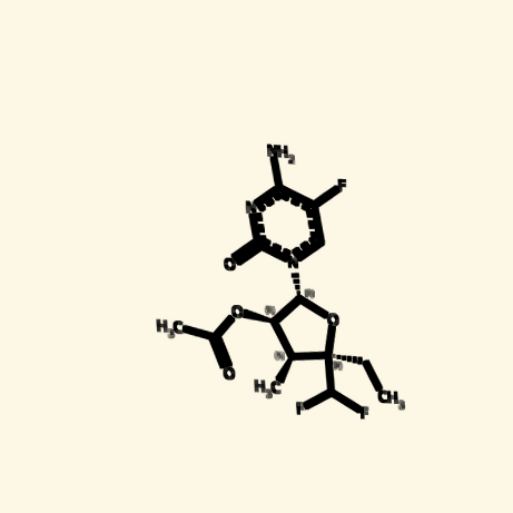 CC[C@@]1(C(F)F)O[C@@H](n2cc(F)c(N)nc2=O)[C@H](OC(C)=O)[C@@H]1C